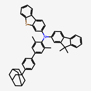 Cc1cc(-c2ccc(C34CC5CC(CC(C5)C3)C4)cc2)cc(C)c1N(c1ccc2c(c1)C(C)(C)c1ccccc1-2)c1ccc2c(c1)sc1ccccc12